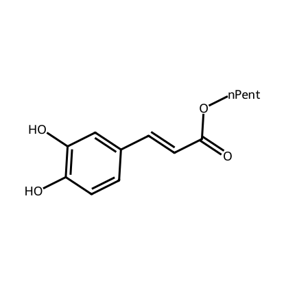 CCCCCOC(=O)C=Cc1ccc(O)c(O)c1